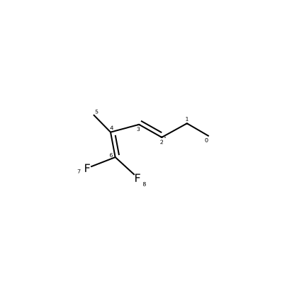 CC/[C]=C/C(C)=C(F)F